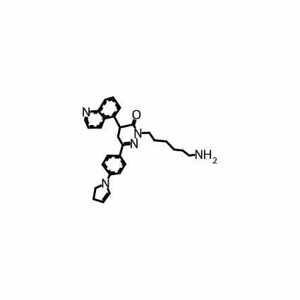 NCCCCCCN1N=C(c2ccc(N3C=CCC3)cc2)CC(c2cccc3ncccc23)C1=O